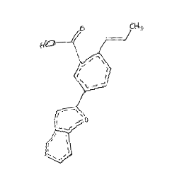 CC=Cc1ccc(-c2cc3ccccc3o2)cc1C(=O)O